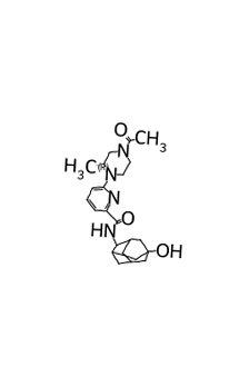 CC(=O)N1CCN(c2cccc(C(=O)NC3C4CC5CC3CC(O)(C5)C4)n2)[C@H](C)C1